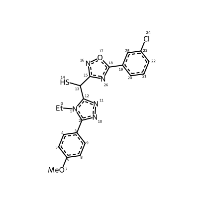 CCn1c(-c2ccc(OC)cc2)nnc1C(S)c1noc(-c2cccc(Cl)c2)n1